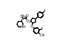 CC(C)(C)N(C(=O)O[C@@H]1CC(c2ccc(F)cc2)CC1Oc1ccc(C#N)c(F)c1)C1CCCNC1